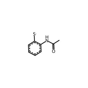 CC(=O)Nc1ccccc1[S]